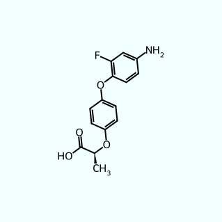 C[C@H](Oc1ccc(Oc2ccc(N)cc2F)cc1)C(=O)O